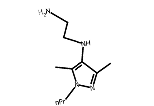 CCCn1nc(C)c(NCCN)c1C